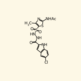 CC(=O)Nc1nc(C)c(S(=O)(=O)NNC(=O)c2cc3cc(Cl)ccc3[nH]2)s1